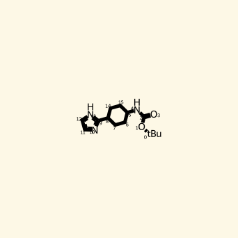 CC(C)(C)OC(=O)NC1CCC(c2ncc[nH]2)CC1